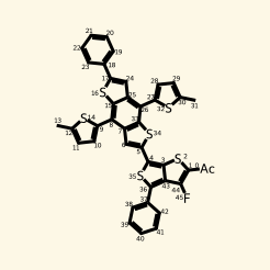 CC(=O)c1sc2c(-c3cc4c(-c5ccc(C)s5)c5sc(-c6ccccc6)cc5c(-c5ccc(C)s5)c4s3)sc(-c3ccccc3)c2c1F